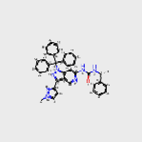 C[C@@H](NC(=O)Nc1cc2c(cn1)c(-c1ccn(C)n1)nn2C(c1ccccc1)(c1ccccc1)c1ccccc1)c1ccccc1